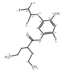 CCCC(CCC)C(=O)Oc1cc(SC(F)C(F)F)c(C)cc1F